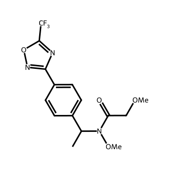 COCC(=O)N(OC)C(C)c1ccc(-c2noc(C(F)(F)F)n2)cc1